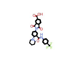 O=C(O)c1ccc2c(c1)C(=O)N(c1ccc(N3CCCCC3)c(C(=O)Nc3ccc(C(F)(F)F)cc3)c1)C2=O